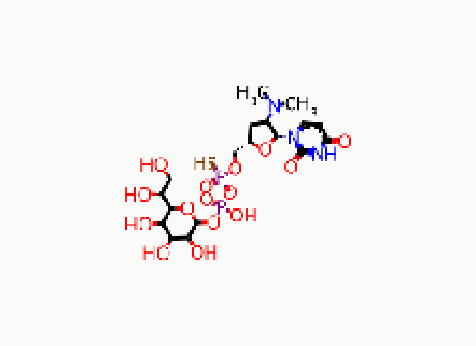 CN(C)[C@@H]1C[C@@H](COP(=O)(S)OP(=O)(O)OC2OC([C@@H](O)CO)C(O)C(O)C2O)O[C@H]1n1ccc(=O)[nH]c1=O